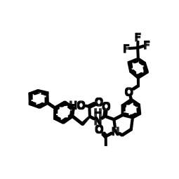 CC(=O)N1CCc2ccc(OCc3ccc(C(F)(F)F)cc3)cc2C1C(=O)N[C@@H](Cc1ccc(-c2ccccc2)cc1)C(=O)O